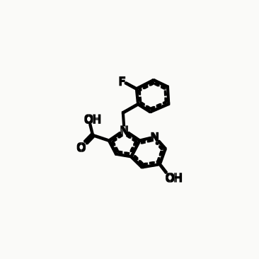 O=C(O)c1cc2cc(O)cnc2n1Cc1ccccc1F